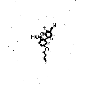 C=CCCOc1ccc(C(=O)O)c(-c2ccc(C#N)c(F)c2)c1